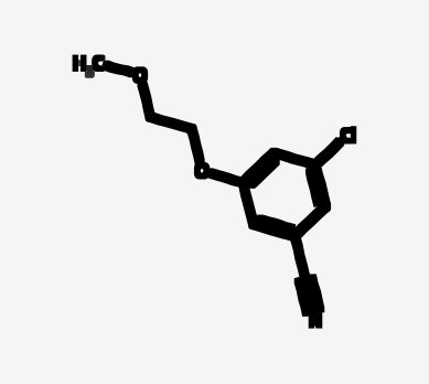 COCCOc1cc(Cl)cc(C#N)c1